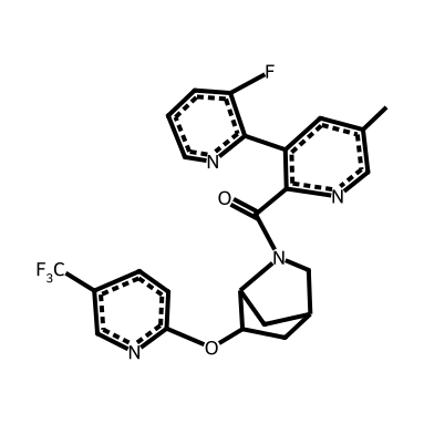 Cc1cnc(C(=O)N2CC3CC(Oc4ccc(C(F)(F)F)cn4)C2C3)c(-c2ncccc2F)c1